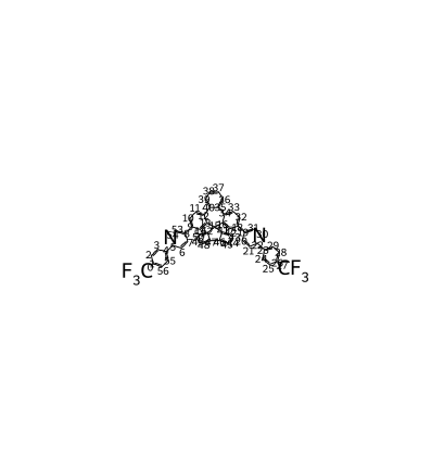 FC(F)(F)c1ccc(-c2ccc(-c3ccc4c(c3)C3(c5cc(-c6ccc(-c7ccc(C(F)(F)F)cc7)nc6)ccc5-c5ccccc5-4)c4ccccc4-c4ccccc43)cn2)cc1